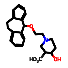 O=C(O)C1CN(CCOC2c3ccccc3CCc3ccccc32)CCC1O